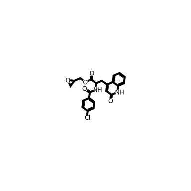 O=C(NC(Cc1cc(=O)[nH]c2ccccc12)C(=O)OCC1CO1)c1ccc(Cl)cc1